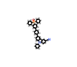 N#Cc1ccc2c(c1)c1cc(-c3ccc(-c4ccc(P(=O)(c5ccccc5)c5ccccc5)cc4)cc3)ccc1n2-c1ccccc1